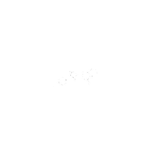 CC(C)(C)c1ccc(-c2noc(-c3cc(=O)c4cc(O)ccc4o3)n2)cc1